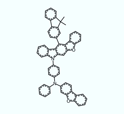 CC1(C)c2ccccc2-c2ccc(-c3c4c(cc5c3c3ccccc3n5-c3ccc(N(c5ccccc5)c5ccc6c(c5)oc5ccccc56)cc3)oc3ccccc34)cc21